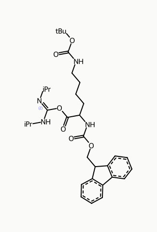 CC(C)/N=C(/NC(C)C)OC(=O)C(CCCCNC(=O)OC(C)(C)C)NC(=O)OCC1c2ccccc2-c2ccccc21